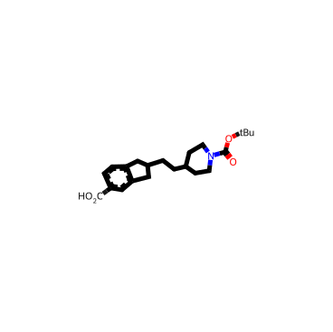 CC(C)(C)OC(=O)N1CCC(CCC2Cc3ccc(C(=O)O)cc3C2)CC1